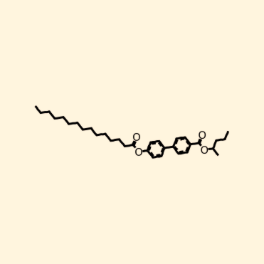 CCCCCCCCCCCCCCC(=O)Oc1ccc(-c2ccc(C(=O)OC(C)CCC)cc2)cc1